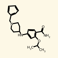 CC(C)Oc1cc(NC2CCN(Cc3ccccc3)CC2)ccc1C(N)=O